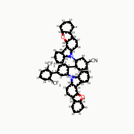 N#Cc1ccc(-c2ccc(-c3c(C(F)(F)F)cccc3C(F)(F)F)cc2-n2c3ccccc3c3c4oc5ccccc5c4ccc32)c(-n2c3ccccc3c3c4oc5ccccc5c4ccc32)c1